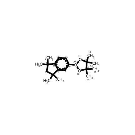 CC1(C)CC(C)(C)c2cc(B3OC(C)(C)C(C)(C)O3)ccc21